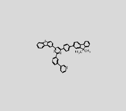 CC1(C)c2ccccc2-c2ccc(-c3ccc(-c4cc(-c5ccc6sc7ccccc7c6c5)nc(-c5cccc(-c6cccnc6)c5)n4)cc3)cc21